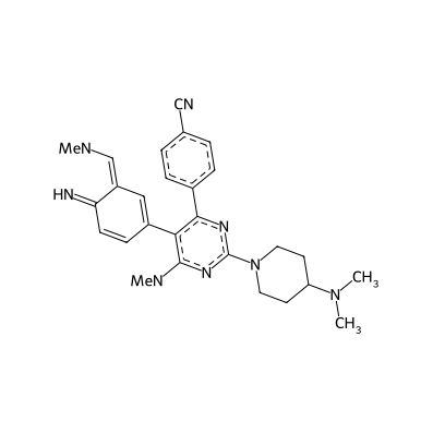 CN/C=C1/C=C(c2c(NC)nc(N3CCC(N(C)C)CC3)nc2-c2ccc(C#N)cc2)C=CC1=N